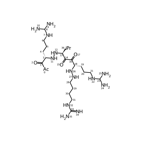 CC(=O)C(=O)[C@H](CCCNC(N)N)NN[C@H](C(=O)C(=O)[C@H](CCCNC(N)N)NNCCCCNC(=N)N)C(C)C